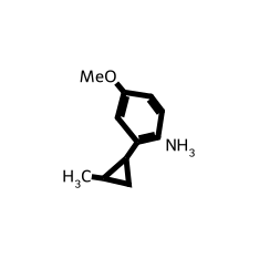 COc1cccc(C2CC2C)c1.N